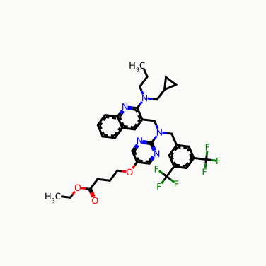 CCCN(CC1CC1)c1nc2ccccc2cc1CN(Cc1cc(C(F)(F)F)cc(C(F)(F)F)c1)c1ncc(OCCCC(=O)OCC)cn1